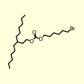 CCCCCCC(CCCCCC)CCOC(=O)OCCCCCCBr